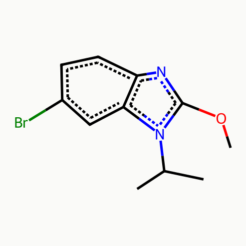 COc1nc2ccc(Br)cc2n1C(C)C